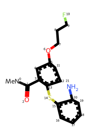 CNC(=O)c1cc(OCCCF)ccc1Sc1ccccc1N